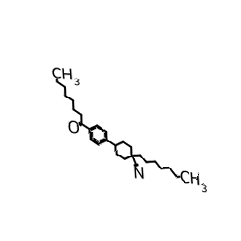 CCCCCCCC(=O)c1ccc(C2CCC(C#N)(CCCCCCC)CC2)cc1